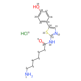 Cl.NCCCCCCC(=O)Nc1ncc(-c2ccc(O)cc2)s1